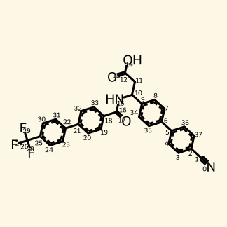 N#Cc1ccc(-c2ccc(C(CC(=O)O)NC(=O)c3ccc(-c4ccc(C(F)(F)F)cc4)cc3)cc2)cc1